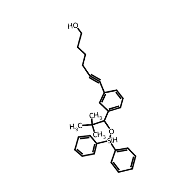 CC(C)(C)C(O[SiH](c1ccccc1)c1ccccc1)c1cccc(C#CCCCCO)c1